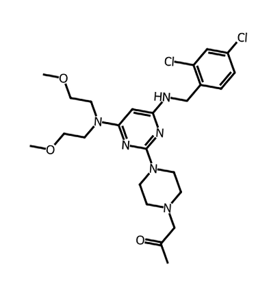 COCCN(CCOC)c1cc(NCc2ccc(Cl)cc2Cl)nc(N2CCN(CC(C)=O)CC2)n1